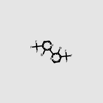 FC(F)(F)c1ccnc(-c2nccc(C(F)(F)F)c2Br)c1Br